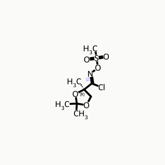 CC1(C)OC[C@](C)(/C(Cl)=N/OS(C)(=O)=O)O1